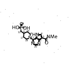 CNC(=O)c1c[nH]c2c(N3CCC(CP(=O)(O)O)CC3)ncnc12